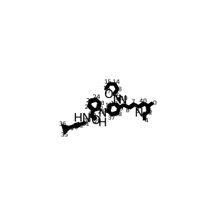 Cc1cc(C)nc(C=Cc2nn(C3CCCCO3)c3cc(Nc4ccccc4C(=O)NCC#CC4CC4)ccc23)c1